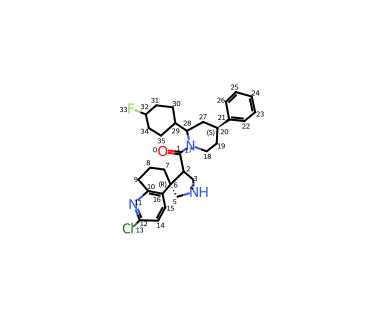 O=C(C1CNC[C@]12CCCc1nc(Cl)ccc12)N1CC[C@H](c2ccccc2)CC1C1CCC(F)CC1